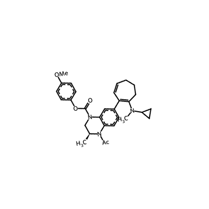 COc1ccc(OC(=O)N2C[C@H](C)N(C(C)=O)c3ccc(C4=C(N(C)C5CC5)CCCC=C4)cc32)cc1